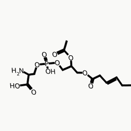 CCC=CCC(=O)OCC(COP(=O)(O)OCC(N)C(=O)O)OC(C)=O